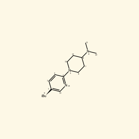 CC[C@H](C)c1ccc(N2CCC(N(C)C)CC2)nc1